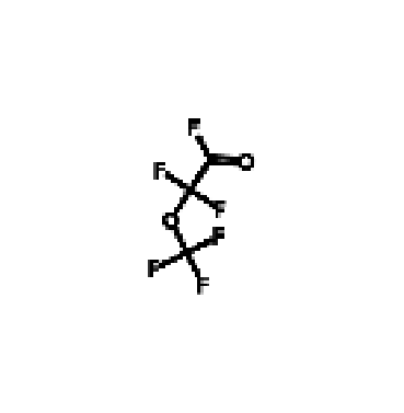 O=C(F)C(F)(F)OC(F)(F)F